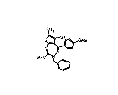 COc1ccc(C2=NN(Cc3cccnc3)C(SC)=Nc3sc(C)c(C)c32)cc1